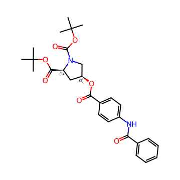 CC(C)(C)OC(=O)[C@@H]1C[C@H](OC(=O)c2ccc(NC(=O)c3ccccc3)cc2)CN1C(=O)OC(C)(C)C